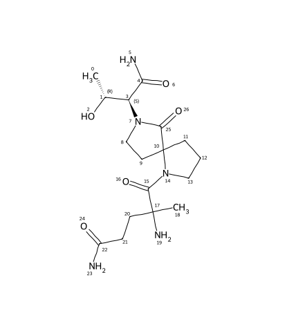 C[C@@H](O)[C@@H](C(N)=O)N1CCC2(CCCN2C(=O)C(C)(N)CCC(N)=O)C1=O